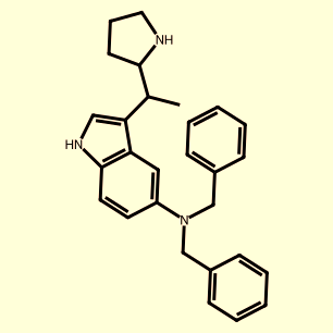 CC(c1c[nH]c2ccc(N(Cc3ccccc3)Cc3ccccc3)cc12)C1CCCN1